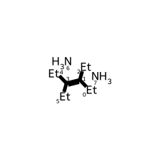 CCC(CC)=C(CC)CC.N.N